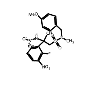 COc1ccc(CN(C)S(=O)(=O)CC(C)(N[S@+]([O-])C(C)(C)C)c2cccc([N+](=O)[O-])c2F)cc1